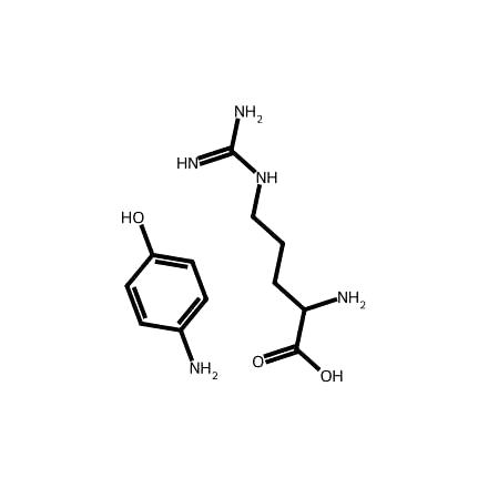 N=C(N)NCCCC(N)C(=O)O.Nc1ccc(O)cc1